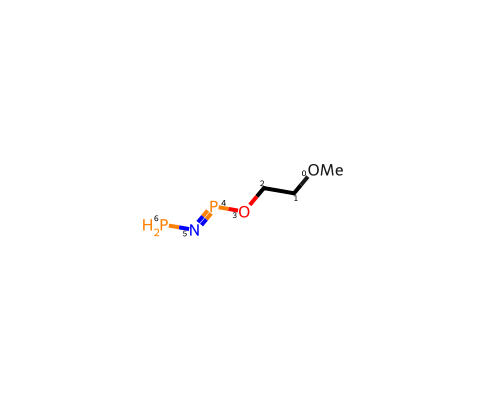 COCCOP=NP